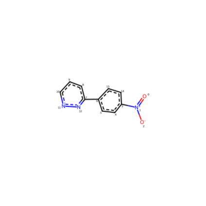 O=[N+]([O-])c1ccc(-c2cccnn2)cc1